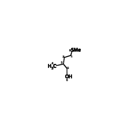 CSCCC(C)CO